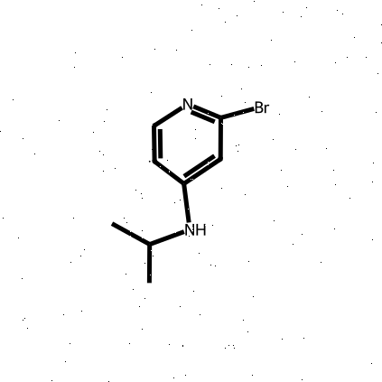 CC(C)Nc1[c]cnc(Br)c1